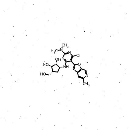 Cc1cc2cc(-c3c(Cl)nc(N(C)C)nc3N[C@@H]3C[C@H](CO)[C@@H](O)[C@H]3O)oc2cn1